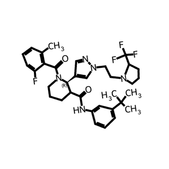 Cc1cccc(F)c1C(=O)N1CCCC(C(=O)Nc2cccc(C(C)(C)C)c2)[C@@H]1c1cnn(CCN2CCCC2C(F)(F)F)c1